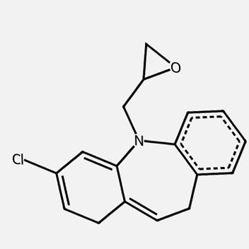 ClC1=CCC2=CCc3ccccc3N(CC3CO3)C2=C1